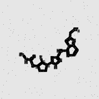 CC(C)NC(=O)O[C@@H]1CC[C@H](c2cc(Nc3nccc4nc(CC(F)(F)F)cn34)n[nH]2)[C@@H]1F